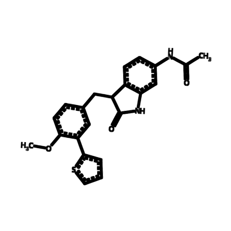 COc1ccc(CC2C(=O)Nc3cc(NC(C)=O)ccc32)cc1-c1cccs1